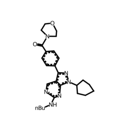 CCCCNc1ncc2c(-c3ccc(C(=O)N4CCOCC4)cc3)nn(C3CCCCC3)c2n1